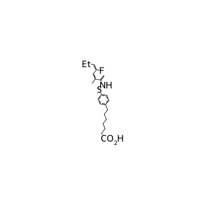 C=C(NSc1ccc(CCCCCCC(=O)O)cc1)/C(C)=C\C(F)=C/CC